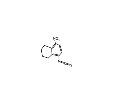 O=[N+]([O-])c1ccc(N=C=S)c2c1CCCC2